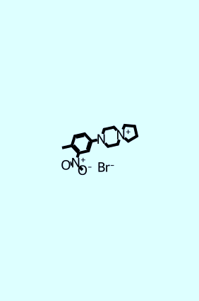 Cc1ccc(N2CC[N+]3(CCCC3)CC2)cc1[N+](=O)[O-].[Br-]